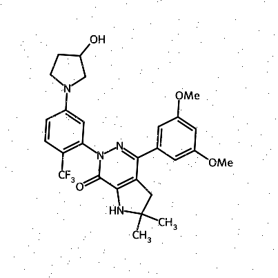 COc1cc(OC)cc(-c2nn(-c3cc(N4CCC(O)C4)ccc3C(F)(F)F)c(=O)c3c2CC(C)(C)N3)c1